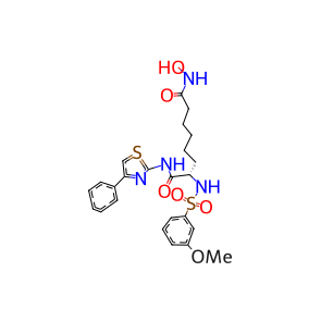 COc1cccc(S(=O)(=O)N[C@@H](CCCCCC(=O)NO)C(=O)Nc2nc(-c3ccccc3)cs2)c1